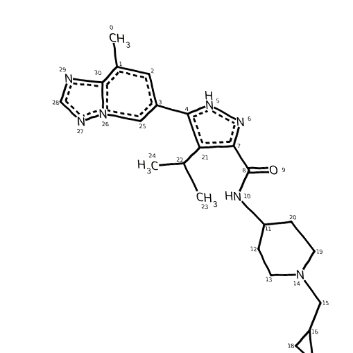 Cc1cc(-c2[nH]nc(C(=O)NC3CCN(CC4CC4)CC3)c2C(C)C)cn2ncnc12